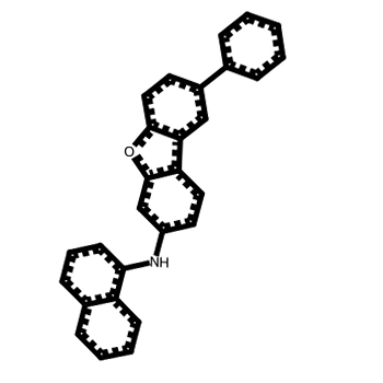 c1ccc(-c2ccc3oc4cc(Nc5cccc6ccccc56)ccc4c3c2)cc1